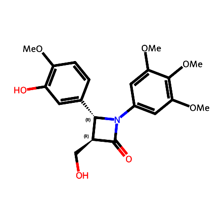 COc1ccc([C@H]2[C@H](CO)C(=O)N2c2cc(OC)c(OC)c(OC)c2)cc1O